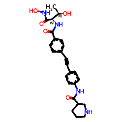 C[C@@H](O)[C@H](NC(=O)c1ccc(C#Cc2ccc(NC(=O)C3CCCNC3)cc2)cc1)C(=O)NO